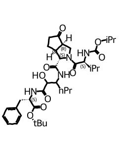 CCCC(NC(=O)[C@@H]1[C@H]2CCC(=O)[C@H]2CN1C(=O)[C@@H](NC(=O)OC(C)C)C(C)C)C(O)C(=O)N[C@@H](Cc1ccccc1)C(=O)OC(C)(C)C